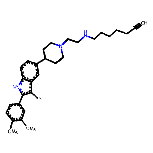 C#CCCCCCNCCN1CCC(c2ccc3[nH]c(-c4ccc(OC)c(OC)c4)c(C(C)C)c3c2)CC1